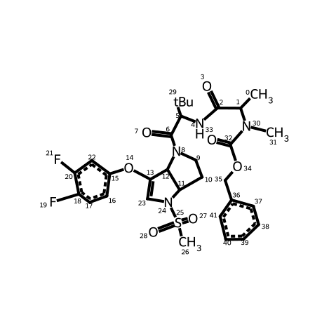 CC(C(=O)NC(C(=O)N1CCC2C1C(Oc1ccc(F)c(F)c1)=CN2S(C)(=O)=O)C(C)(C)C)N(C)C(=O)OCc1ccccc1